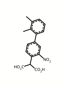 Cc1cccc(-c2ccc(C(C(=O)O)C(=O)O)c([N+](=O)[O-])c2)c1C